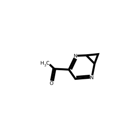 CC(=O)C1=NC2CC2N=C1